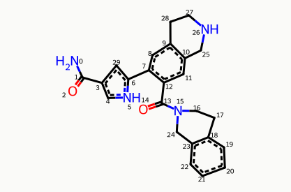 NC(=O)c1c[nH]c(-c2cc3c(cc2C(=O)N2CCc4ccccc4C2)CNCC3)c1